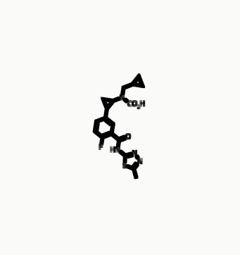 Cc1nnc(NC(=O)c2cc(C3CC3N(CC3CC3)C(=O)O)ccc2F)s1